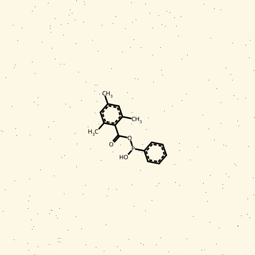 Cc1cc(C)c(C(=O)OP(O)c2ccccc2)c(C)c1